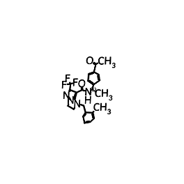 CC(=O)c1ccc([C@H](C)NC(=O)c2c(C(F)(F)F)nn3c2N(Cc2ccccc2C)CC3)cc1